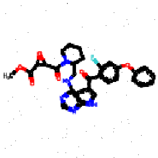 COC(=O)C1OC1C(=O)N1CCCCC1CNc1ncnc2[nH]cc(C(=O)c3ccc(Oc4ccccc4)cc3F)c12